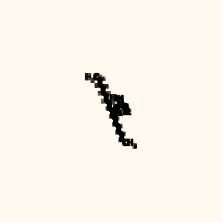 CCCCCCCCCCCCCCCCCC.CCO[SiH](OCC)OCC